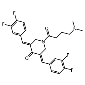 CN(C)CCCC(=O)N1C/C(=C\c2ccc(F)c(F)c2)C(=O)/C(=C/c2ccc(F)c(F)c2)C1